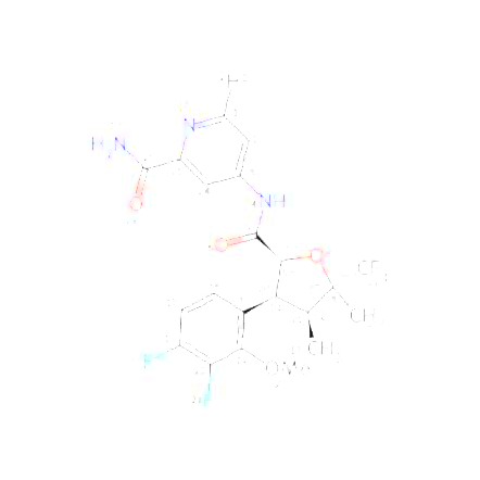 [2H]c1cc(NC(=O)[C@H]2O[C@](C)(C(F)(F)F)[C@@H](C)[C@H]2c2ccc(F)c(F)c2OC)cc(C(N)=O)n1